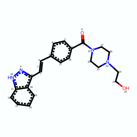 O=C(c1ccc(/C=C/c2n[nH]c3ccccc23)cc1)N1CCN(CCO)CC1